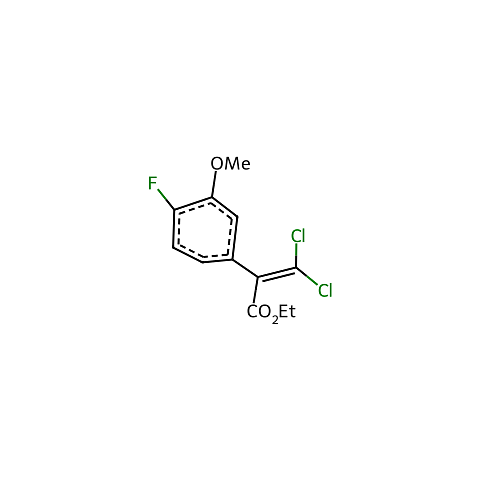 CCOC(=O)C(=C(Cl)Cl)c1ccc(F)c(OC)c1